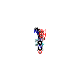 O=C1C=CN(c2c(F)cc(N3C[C@H](CN(C4=NCC=C4)P(=O)(O)O)OC3=O)c(F)c2F)CC1